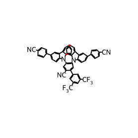 N#Cc1ccc(-c2ccc3c(c2)c2ccccc2n3-c2cc(C#N)c(-c3cc(C(F)(F)F)cc(C(F)(F)F)c3)cc2-n2c3ccccc3c3cc(-c4ccc(C#N)cc4)ccc32)cc1